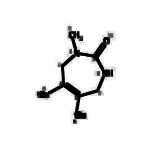 CN1CC(C(C)(C)C)=C(C(C)(C)C)CNC1=O